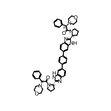 O=C([C@@H](c1ccccc1)N1CCOCC1)N1CCC[C@H]1c1nc2ccc(-c3ccc(-c4ccc5nc([C@@H]6CCCN6C(=O)[C@@H](c6ccccc6)N6CCOCC6)[nH]c5c4)cc3)cc2[nH]1